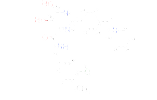 Cc1ccc(CNC(=O)c2nc(-c3ccc(CN4CCCCC4)cc3)nc(O)c2O)cc1Cl